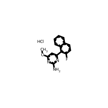 COc1cc(-c2c(F)ccc3ccccc23)nc(N)n1.Cl